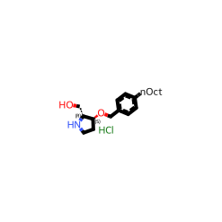 CCCCCCCCc1ccc(CO[C@H]2CCN[C@@H]2CO)cc1.Cl